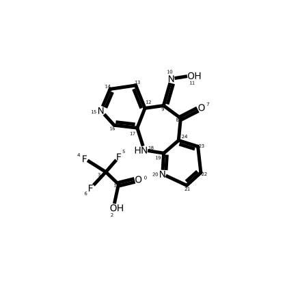 O=C(O)C(F)(F)F.O=c1c(=NO)c2ccncc2[nH]c2ncccc12